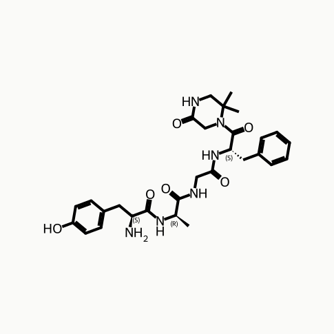 C[C@@H](NC(=O)[C@@H](N)Cc1ccc(O)cc1)C(=O)NCC(=O)N[C@@H](Cc1ccccc1)C(=O)N1CC(=O)NCC1(C)C